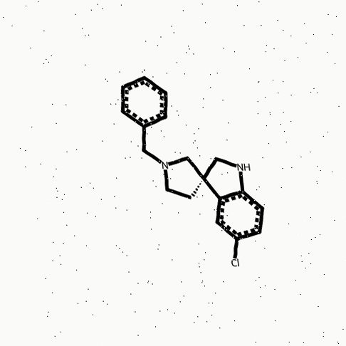 Clc1ccc2c(c1)[C@]1(CCN(Cc3ccccc3)C1)CN2